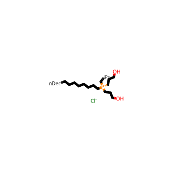 CCCCCCCCCCCCCCCCCC[P+](CCCO)(CCCO)CC(C)C.[Cl-]